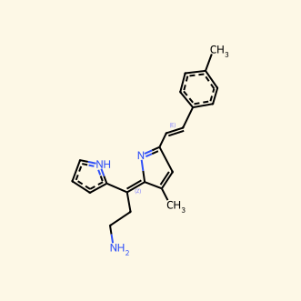 CC1=CC(/C=C/c2ccc(C)cc2)=NC/1=C(/CCN)c1ccc[nH]1